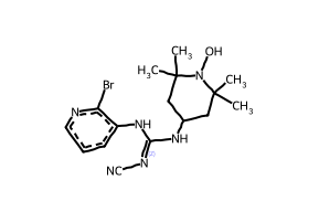 CC1(C)CC(N/C(=N/C#N)Nc2cccnc2Br)CC(C)(C)N1O